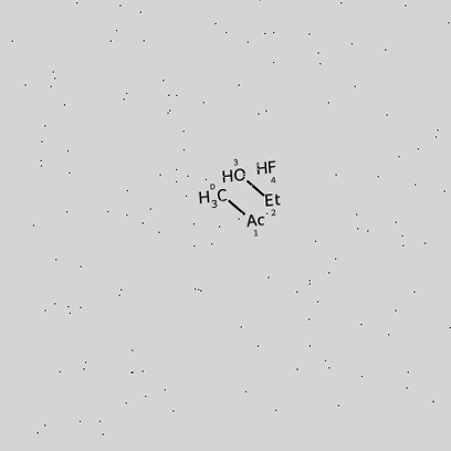 CC(C)=O.CCO.F